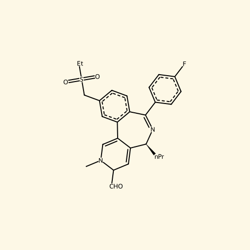 CCC[C@@H]1N=C(c2ccc(F)cc2)c2ccc(CS(=O)(=O)CC)cc2C2=CN(C)C(C=O)C=C21